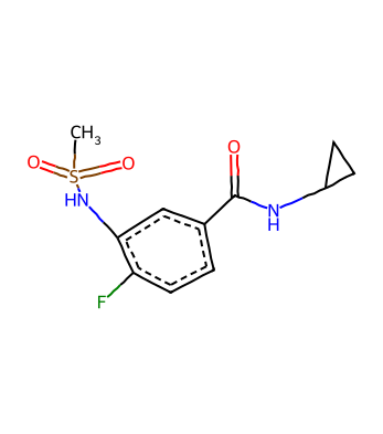 CS(=O)(=O)Nc1cc(C(=O)NC2CC2)ccc1F